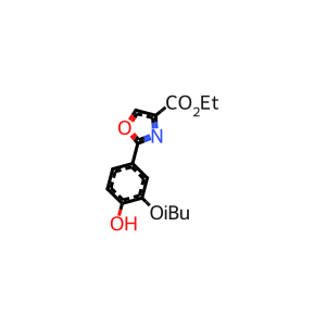 CCOC(=O)c1coc(-c2ccc(O)c(OCC(C)C)c2)n1